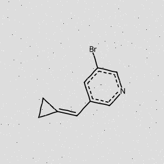 Brc1cncc(C=C2CC2)c1